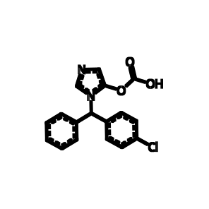 O=C(O)Oc1cncn1C(c1ccccc1)c1ccc(Cl)cc1